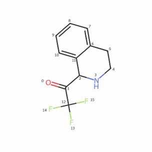 O=C(C1NCCc2ccccc21)C(F)(F)F